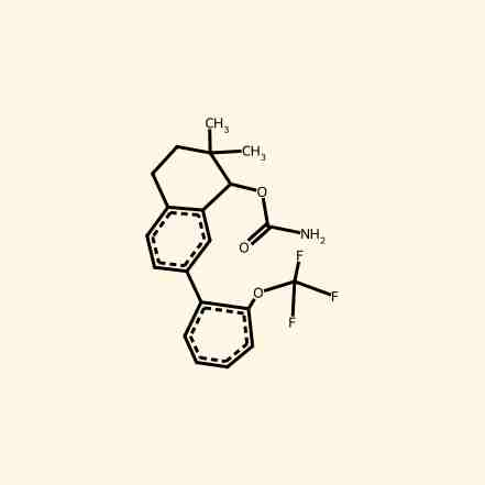 CC1(C)CCc2ccc(-c3ccccc3OC(F)(F)F)cc2C1OC(N)=O